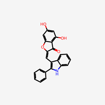 O=C1C(=Cc2c(-c3ccccc3)[nH]c3ccccc23)Oc2cc(O)cc(O)c21